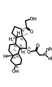 CCCN(CCC)CC(=O)O[C@H]1C[C@]2(C)[C@@H](C(=O)CO)CC[C@H]2[C@@H]2CC[C@H]3C[C@H](O)CC[C@]3(C)[C@H]21